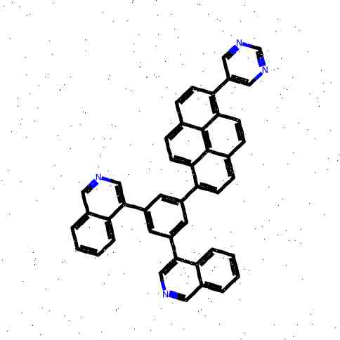 c1ccc2c(-c3cc(-c4cncc5ccccc45)cc(-c4ccc5ccc6c(-c7cncnc7)ccc7ccc4c5c76)c3)cncc2c1